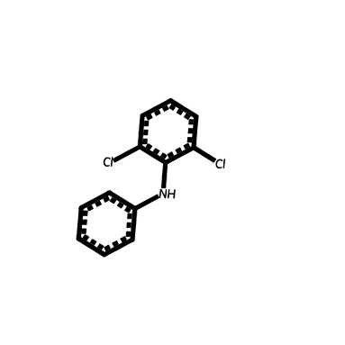 Clc1cccc(Cl)c1Nc1ccccc1